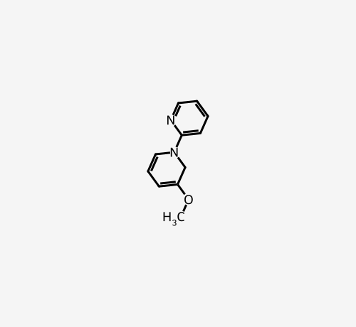 COC1=CC=CN(c2ccccn2)C1